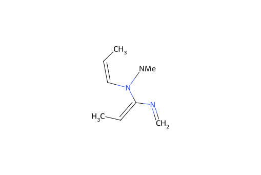 C=N/C(=C/C)N(/C=C\C)NC